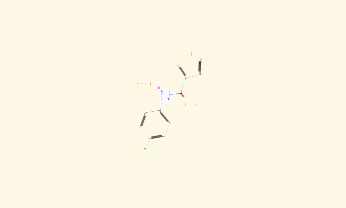 O=C(c1cocc1I)N(O)c1ccc(Cl)cc1